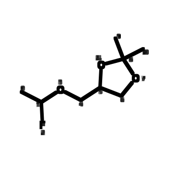 CC(F)OCC1COC(C)(C)O1